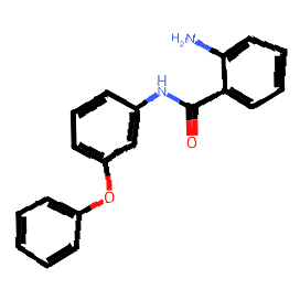 Nc1ccccc1C(=O)Nc1cccc(Oc2ccccc2)c1